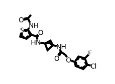 CC(=O)Nc1sccc1C(=O)NC12CC(NC(=O)COc3ccc(Cl)c(F)c3)(C1)C2